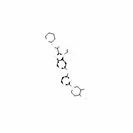 CC(O[C@@H]1CCCCO1)c1nc2cnc(Nc3ccnc(N4CCC(O)C(F)C4)n3)cc2n1[C@@H](C)C(F)(F)F